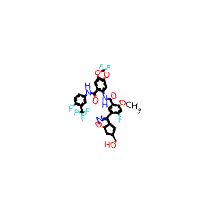 COc1cc(F)c(C2=NOC3CC(CO)CC23)cc1C(=O)Nc1cc2c(cc1C(=O)Nc1ccc(F)c(C(F)(F)F)c1)OC(F)(F)O2